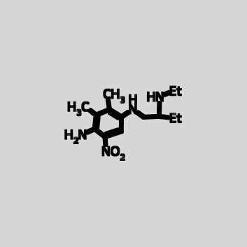 CCNC(CC)CNc1cc([N+](=O)[O-])c(N)c(C)c1C